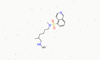 CCCNCC(C)CCCCN(C)S(=O)(=O)c1cccc2cnccc12